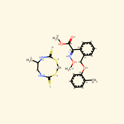 CC1CNC(=S)[S][Zn][S]C(=S)N1.CO/N=C(/C(=O)OC)c1ccccc1COc1ccccc1C